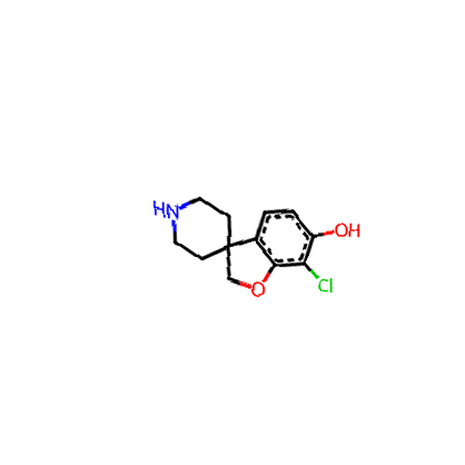 Oc1ccc2c(c1Cl)OCC21CCNCC1